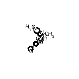 COc1nc2c(cc1NS(=O)(=O)c1ccc([C@H]3CCCOC3)cc1)CCN(C)CC2